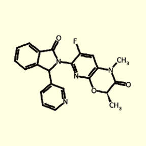 C[C@H]1Oc2nc(N3C(=O)c4ccccc4C3c3cccnc3)c(F)cc2N(C)C1=O